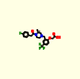 C[C@H]1CN(Cc2cc(C(F)(F)F)ccc2OCC(=O)O)CCN1C(=O)Cc1ccc(F)cc1